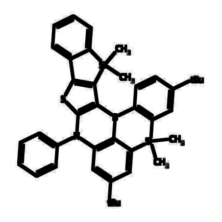 CC(C)(C)c1ccc2c(c1)[Si](C)(C)c1cc(C(C)(C)C)cc3c1B2c1c(sc2c1[Si](C)(C)c1ccccc1-2)N3c1ccccc1